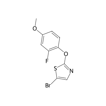 COc1ccc(Oc2ncc(Br)s2)c(F)c1